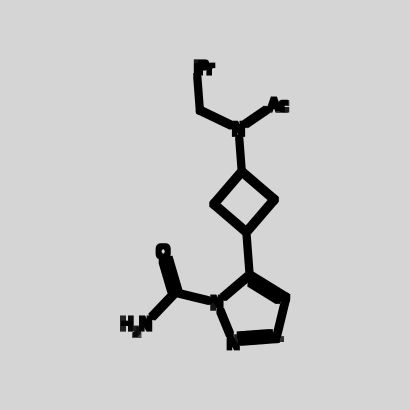 CC(=O)N(CC(C)C)C1CC(c2c[c]nn2C(N)=O)C1